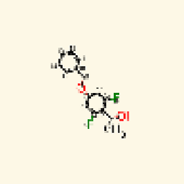 CC(O)c1c(F)cc(OCc2ccccc2)cc1F